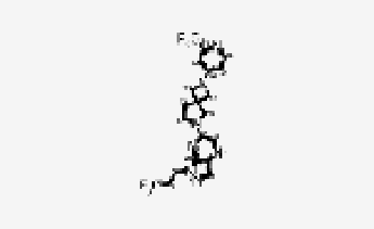 FC(F)(F)CCn1ncc2ncc(N3CCC4(CN(c5ccnc(C(F)(F)F)c5)C4)C3)nc21